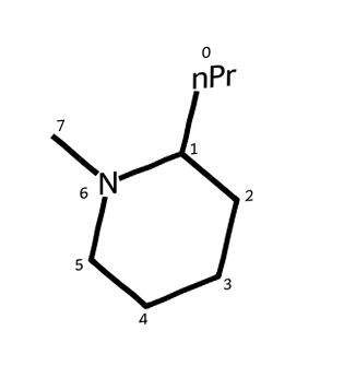 C[CH]CC1CCCCN1C